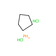 C1CCCC1.Cl.Cl.P